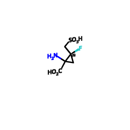 NC1(C(=O)O)C[C@@]1(F)CS(=O)(=O)O